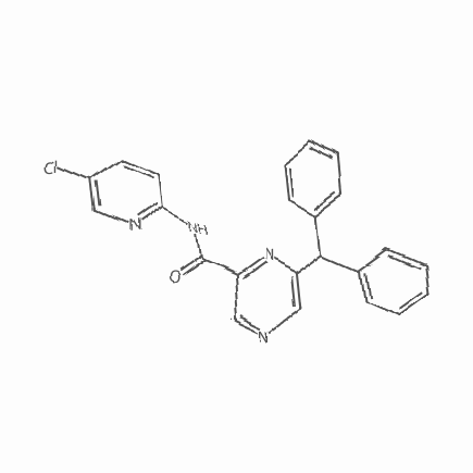 O=C(Nc1ccc(Cl)cn1)c1[c]ncc(C(c2ccccc2)c2ccccc2)n1